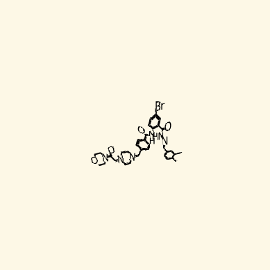 Cc1ccc(C=NNC(=O)c2cc(Br)ccc2NC(=O)c2ccc(CN3CCN(CC(=O)N4CCOCC4)CC3)cc2)cc1C